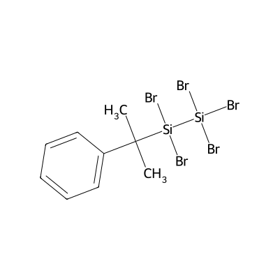 CC(C)(c1ccccc1)[Si](Br)(Br)[Si](Br)(Br)Br